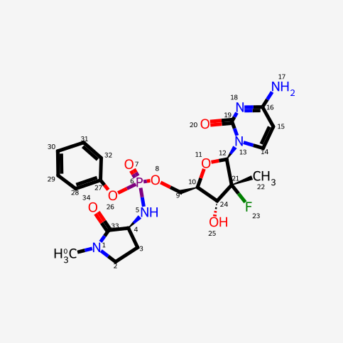 CN1CC[C@H](NP(=O)(OC[C@H]2O[C@@H](n3ccc(N)nc3=O)[C@](C)(F)[C@@H]2O)Oc2ccccc2)C1=O